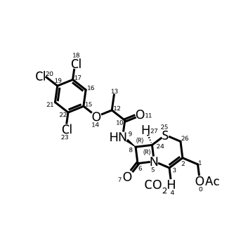 CC(=O)OCC1=C(C(=O)O)N2C(=O)[C@@H](NC(=O)C(C)Oc3cc(Cl)c(Cl)cc3Cl)[C@H]2SC1